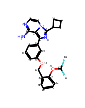 Nc1nccn2c(C3CCC3)nc(-c3cccc(OCc4ccccc4OC(F)F)c3)c12